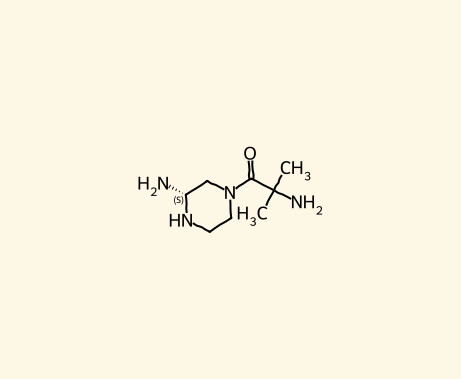 CC(C)(N)C(=O)N1CCN[C@H](N)C1